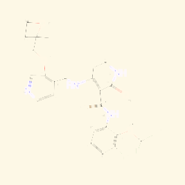 CC1(COc2cnccc2CNC2=C(C(=S)Nc3cccc(Cl)c3OC(F)F)C(=O)NCC2)CCO1